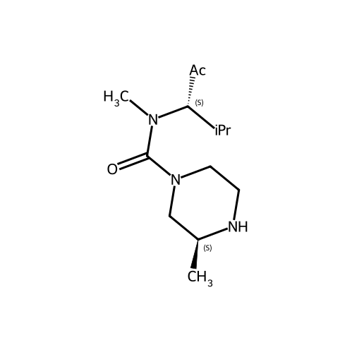 CC(=O)[C@H](C(C)C)N(C)C(=O)N1CCN[C@@H](C)C1